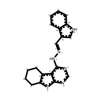 C(=N\Nc1ncnc2sc3c(c12)CCCC3)/c1c[nH]c2ccccc12